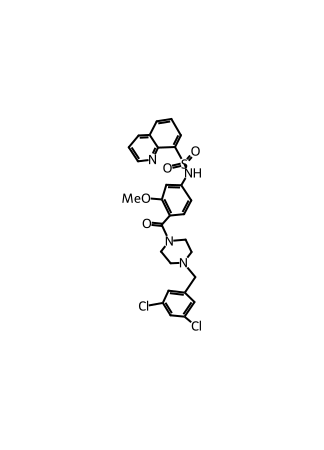 COc1cc(NS(=O)(=O)c2cccc3cccnc23)ccc1C(=O)N1CCN(Cc2cc(Cl)cc(Cl)c2)CC1